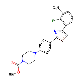 CC(C)(C)OC(=O)N1CCN(c2ccc(-c3nc(-c4cccc([N+](=O)[O-])c4F)cs3)cc2)CC1